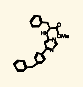 COC(=O)[C@H](Cc1ccccc1)Nc1cc(-c2ccc(Cc3ccccc3)cc2)ncn1